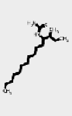 CCCCCCCCCCCC(NC(N)=S)C(C)CC